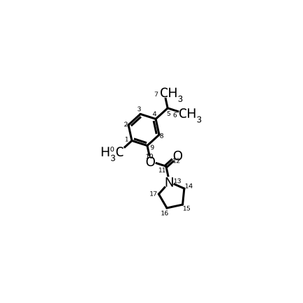 Cc1ccc(C(C)C)cc1OC(=O)N1CCCC1